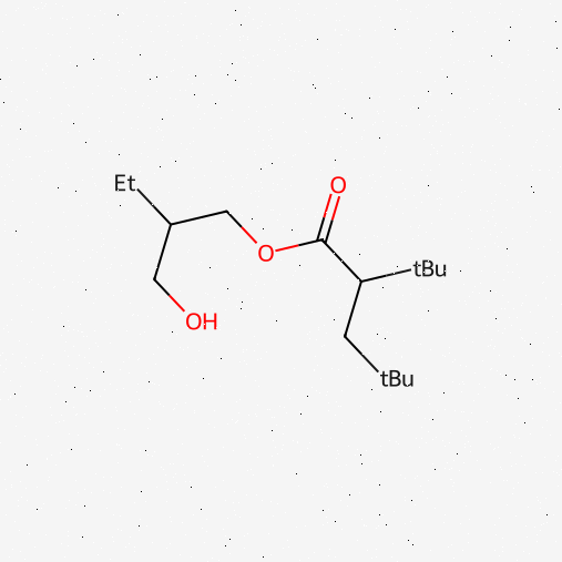 CCC(CO)COC(=O)C(CC(C)(C)C)C(C)(C)C